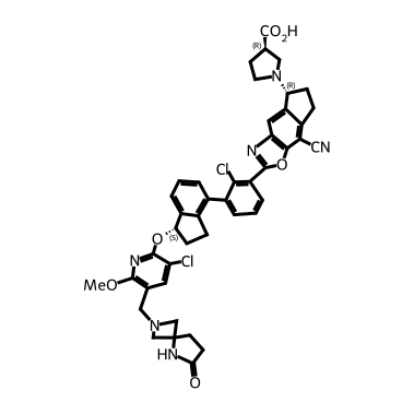 COc1nc(O[C@H]2CCc3c(-c4cccc(-c5nc6cc7c(c(C#N)c6o5)CC[C@H]7N5CC[C@@H](C(=O)O)C5)c4Cl)cccc32)c(Cl)cc1CN1CC2(CCC(=O)N2)C1